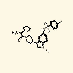 CC(C(=O)N1CCC(c2cn(C)c3ccc(NS(=O)(=O)c4ccc(F)cc4)cc23)CC1)C1CCCC1